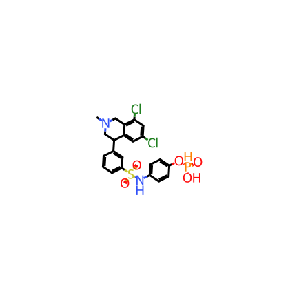 CN1Cc2c(Cl)cc(Cl)cc2C(c2cccc(S(=O)(=O)Nc3ccc(O[PH](=O)O)cc3)c2)C1